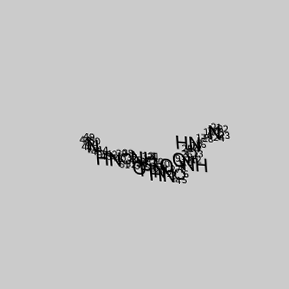 O=C(Nc1cccc(C(=O)Nc2ccc(NCCCCN3CCCC3)cc2)c1)Nc1cccc(C(=O)Nc2ccc(NCCCCN3CCCC3)cc2)c1